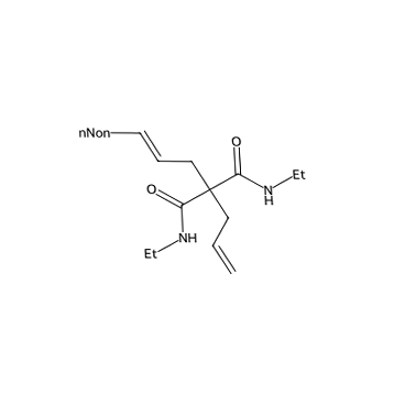 C=CCC(C/C=C/CCCCCCCCC)(C(=O)NCC)C(=O)NCC